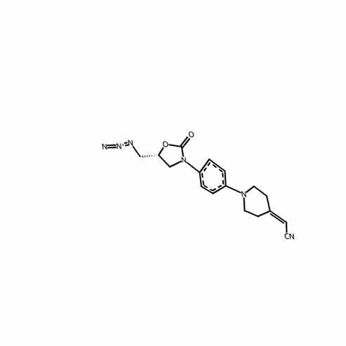 N#CC=C1CCN(c2ccc(N3C[C@H](CN=[N+]=[N-])OC3=O)cc2)CC1